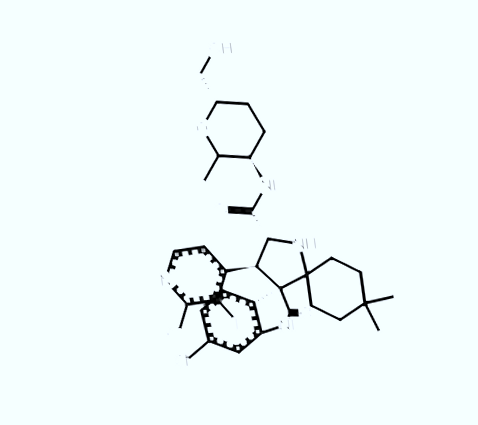 CC1O[C@H](CO)CC[C@H]1NC(=O)[C@@H]1NC2(CCC(C)(C)CC2)[C@@]2(C(=O)Nc3cc(Cl)ccc32)[C@H]1c1ccnc(Cl)c1F